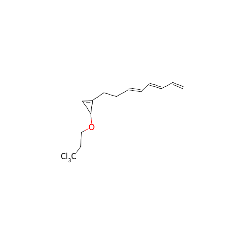 C=C/C=C/C=C/CCC1=CC1OCCC(Cl)(Cl)Cl